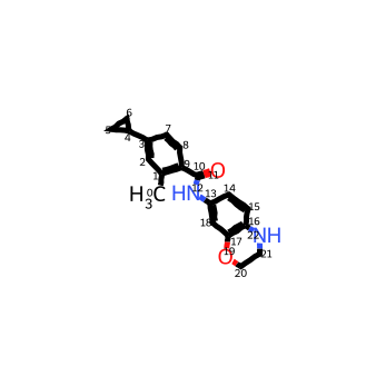 Cc1cc(C2CC2)ccc1C(=O)Nc1ccc2c(c1)OCCN2